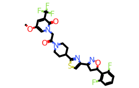 COc1cc(C(F)(F)F)c(=O)n(CC(=O)N2CCC(c3nc(C4=NOC(c5c(F)cccc5F)C4)cs3)CC2)c1